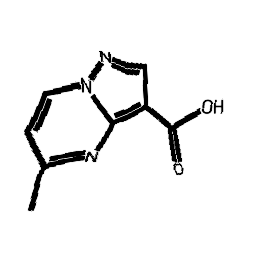 Cc1ccn2ncc(C(=O)O)c2n1